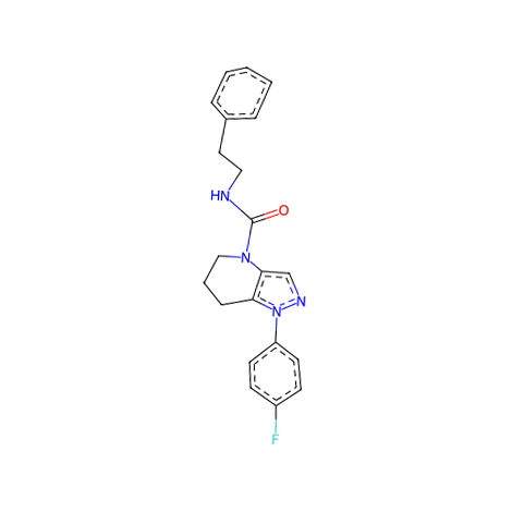 O=C(NCCc1ccccc1)N1CCCc2c1cnn2-c1ccc(F)cc1